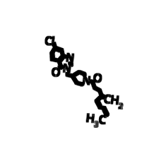 C=C(/C=C\C=C/C)CCC(=O)N1CCC(Cn2cnc3cc(Cl)ccc3c2=O)CC1